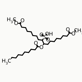 CCCCCCCCCC(=O)OC(CCCCCCCC(=O)OC)C(CCCCCCCC(=O)OC)S(=O)(=O)O